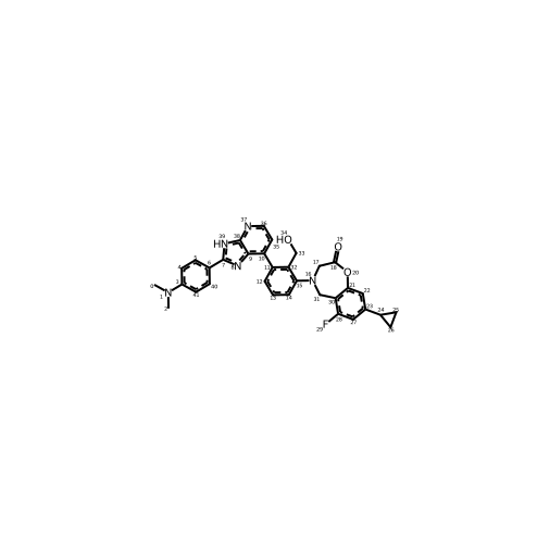 CN(C)c1ccc(-c2nc3c(-c4cccc(N5CC(=O)Oc6cc(C7CC7)cc(F)c6C5)c4CO)ccnc3[nH]2)cc1